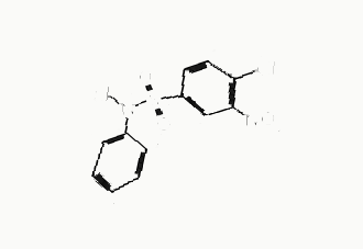 O=[N+]([O-])c1cc(S(=O)(=O)N(Cl)c2ccccc2)ccc1Cl